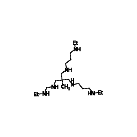 CCNCCCNCC(C)(CNCCCNCC)CNCNCC